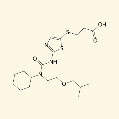 CC(C)COCCN(C(=O)Nc1ncc(SCCC(=O)O)s1)C1CCCCC1